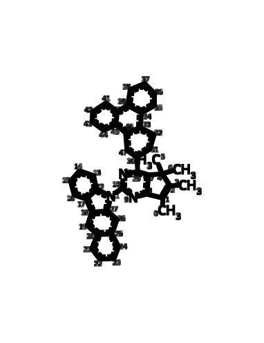 CC1=C(C)C(C)(C)c2c1nc(-n1c3ccccc3c3cc4ccccc4cc31)nc2-c1ccc2c3ccccc3c3ccccc3c2c1